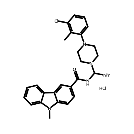 CCCC(NC(=O)c1ccc2c(c1)c1ccccc1n2C)N1CCN(c2cccc(Cl)c2C)CC1.Cl